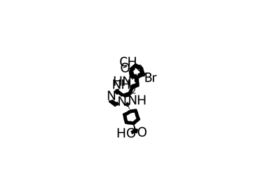 COc1ccc(Br)c2cc(C3=C4C(N)=NC=CN4C([C@H]4CC[C@H](C(=O)O)CC4)N3)[nH]c12